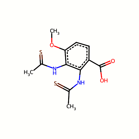 COc1ccc(C(=O)O)c(NC(C)=S)c1NC(C)=S